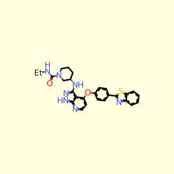 CCNC(=O)N1CCC[C@@H](Nc2n[nH]c3nccc(Oc4ccc(-c5nc6ccccc6s5)cc4)c23)C1